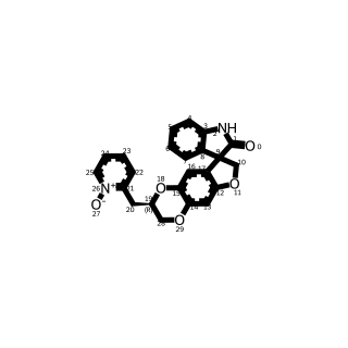 O=C1Nc2ccccc2C12COc1cc3c(cc12)O[C@H](Cc1cccc[n+]1[O-])CO3